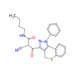 CCCCNC(=O)C(C#N)C(=O)c1nn(-c2ccccc2)c2c1CSc1ccccc1-2